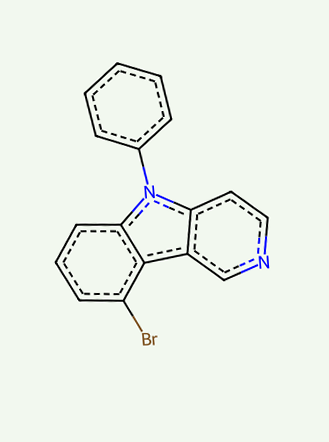 Brc1cccc2c1c1cnccc1n2-c1ccccc1